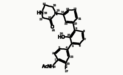 CC(=O)Nc1ccc(-c2cccc(-c3cccc(N4CCNCC4=O)c3)c2O)cc1F